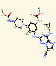 COC(=O)Nc1cc(Nc2nc(NC3CC3)c3ncc(C#N)n3n2)c(Cl)c(N2CCC(NC(=O)OC)CC2)c1